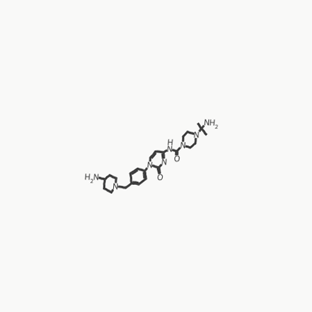 CC(C)(N)N1CCN(C(=O)Nc2ccn(-c3ccc(CN4CCC(N)CC4)cc3)c(=O)n2)CC1